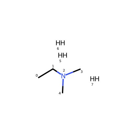 CCN(C)C.[HH].[HH].[HH]